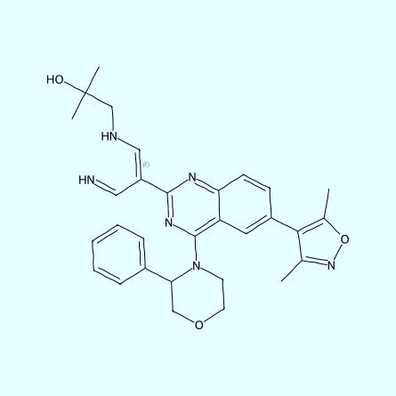 Cc1noc(C)c1-c1ccc2nc(/C(C=N)=C/NCC(C)(C)O)nc(N3CCOCC3c3ccccc3)c2c1